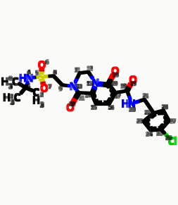 CC(C)(C)NS(=O)(=O)CCN1CCn2c(ccc(C(=O)NCc3ccc(Cl)cc3)c2=O)C1=O